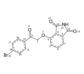 O=C(COc1cccc2c1C(=O)NC2=O)c1ccc(Br)cc1